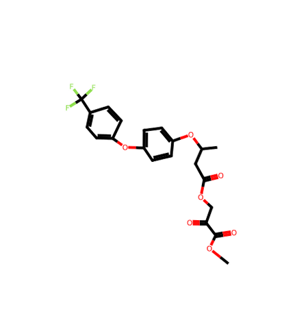 COC(=O)C(=O)COC(=O)CC(C)Oc1ccc(Oc2ccc(C(F)(F)F)cc2)cc1